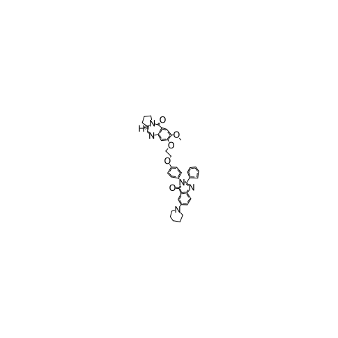 COc1cc2c(cc1OCCOc1ccc(-n3c(-c4ccccc4)nc4ccc(N5CCCCC5)cc4c3=O)cc1)N=C[C@@H]1CCCN1C2=O